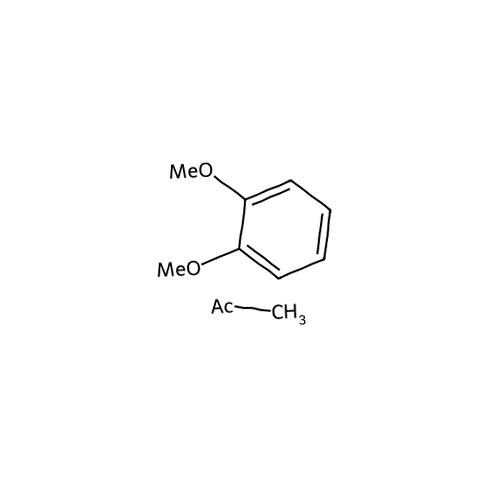 CC(C)=O.COc1ccccc1OC